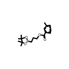 Cc1cccc(C(=O)OCCCB2OC(C)(C)C(C)(C)O2)c1